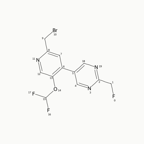 FCc1ncc(-c2cc(CBr)ncc2OC(F)F)cn1